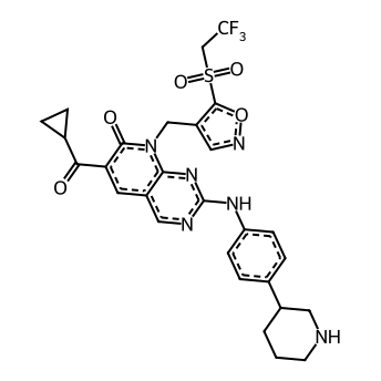 O=C(c1cc2cnc(Nc3ccc(C4CCCNC4)cc3)nc2n(Cc2cnoc2S(=O)(=O)CC(F)(F)F)c1=O)C1CC1